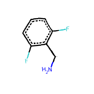 N[CH]c1c(F)cccc1F